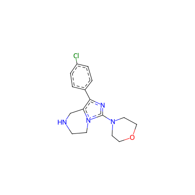 Clc1ccc(-c2nc(N3CCOCC3)n3c2CNCC3)cc1